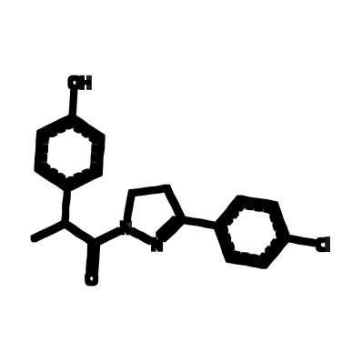 CC(C(=O)N1CCC(c2ccc(Cl)cc2)=N1)c1ccc(O)cc1